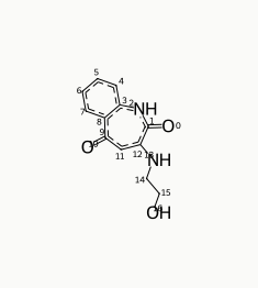 O=c1[nH]c2ccccc2c(=O)cc1NCCO